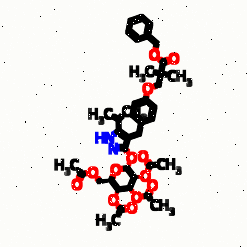 CC(=O)OC[C@H]1O[C@@H](Oc2n[nH]c(C(C)C)c2Cc2ccc(OCC(C)(C)C(=O)OCc3ccccc3)cc2)[C@H](OC(C)=O)[C@@H](OC(C)=O)[C@@H]1OC(C)=O